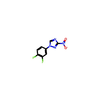 O=[N+]([O-])c1ncn(-c2ccc(F)c(F)c2)n1